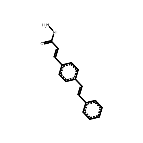 NNC(=O)C=Cc1ccc(C=Cc2ccccc2)cc1